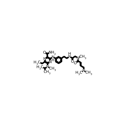 CCc1nc(C(N)=O)c(Nc2cccc(CCNC(=O)CN(C)C(=O)/C=C/CN(C)C)c2)nc1N(C)C(C)C